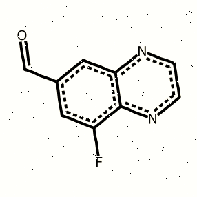 O=Cc1cc(F)c2nccnc2c1